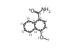 COc1c[c]c(C(N)=O)c2ccccc12